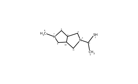 CC(S)N1CC2CN(C)CC2C1